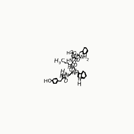 CCCC[C@H](NC(=O)[C@H](Cc1c[nH]c2ccccc12)NC(=O)CNC(=O)[C@@H](N)Cc1ccc(O)cc1)C(=O)N[C@@H](CC(=O)O)C(=O)N[C@@H](Cc1ccccc1)C(N)=O